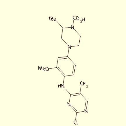 COc1cc(N2CCN(C(=O)O)C(C(C)(C)C)C2)ccc1Nc1nc(Cl)ncc1C(F)(F)F